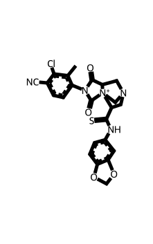 Cc1c(N2C(=O)C3CN4CC(C(=S)Nc5ccc6c(c5)OCO6)[N+]3(C4)C2=O)ccc(C#N)c1Cl